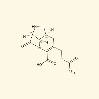 CC(=O)OCC1=C(C(=O)O)N2C(=O)[C@H]3NC[C@@H](C1)[C@H]32